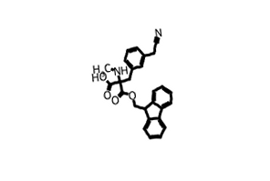 CNC(Cc1cccc(CC#N)c1)(C(=O)O)C(=O)OCC1c2ccccc2-c2ccccc21